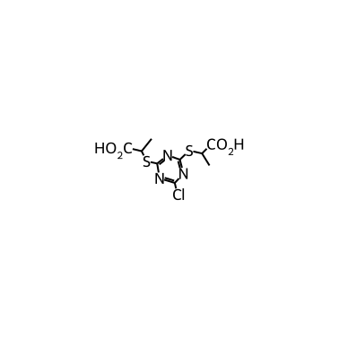 CC(Sc1nc(Cl)nc(SC(C)C(=O)O)n1)C(=O)O